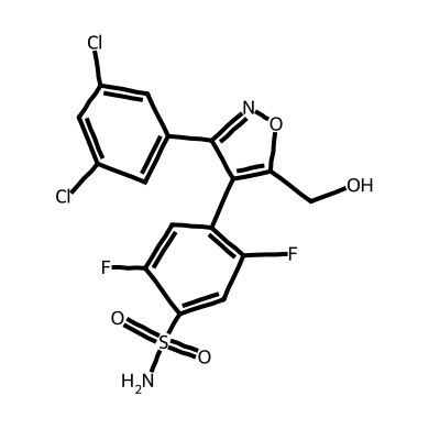 NS(=O)(=O)c1cc(F)c(-c2c(-c3cc(Cl)cc(Cl)c3)noc2CO)cc1F